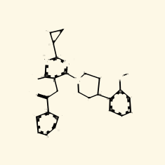 COc1ccccc1C1CCN(c2nc(C3CC3)nc(C)c2CC(=O)c2ccccc2)CC1